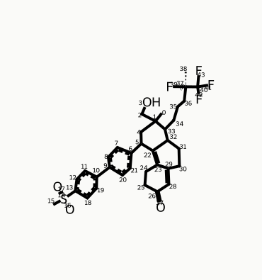 CC1(CO)CC(c2ccc(-c3ccc(S(C)(=O)=O)cc3)cc2)C2=C3CCC(=O)C=C3CCC2C1CCC[C@@](C)(F)C(F)(F)F